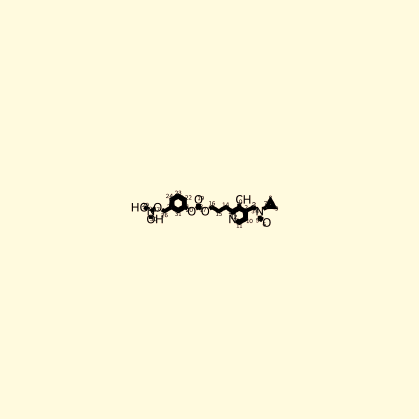 Cc1c(CN(C=O)C2CC2)ccnc1CCCOC(=O)Oc1cccc(CON(O)O)c1